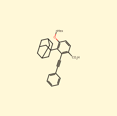 CCCCCCOc1ccc(C(=O)O)c(C#Cc2ccccc2)c1C12CC3CC(CC(C3)C1)C2